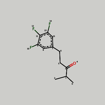 CC(C)C(=O)CCc1cc(F)c(F)c(F)c1